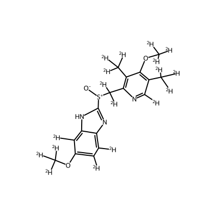 [2H]c1nc(C([2H])([2H])[S+]([O-])c2nc3c([2H])c([2H])c(OC([2H])([2H])[2H])c([2H])c3[nH]2)c(C([2H])([2H])[2H])c(OC([2H])([2H])[2H])c1C([2H])([2H])[2H]